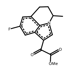 COC(=O)C(=O)c1cn2c3c(cc(F)cc13)CCC2C